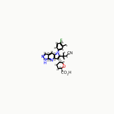 Cc1cc(-n2c(C(C)(C)CC#N)c([C@H]3CC[C@H](C(=O)O)OC3)c3nc4[nH]ncc4cc32)ccc1F